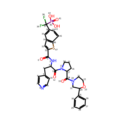 O=C(NC(Cc1ccncc1)C(=O)N1CCCC1C(=O)N1CCOC(c2ccccc2)C1)c1cc2cc(C(F)(F)P(=O)(O)O)ccc2s1